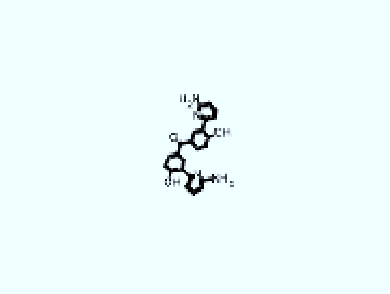 Nc1cccc(-c2cc(C(=O)c3ccc(O)c(-c4cccc(N)n4)c3)ccc2O)n1